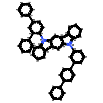 c1ccc(-c2ccc(-c3cccc(-n4c5ccccc5c5cc6c(cc54)c4ccccc4n6-c4ccc(-c5ccccc5)cc4-c4ccccc4)c3)cc2)cc1